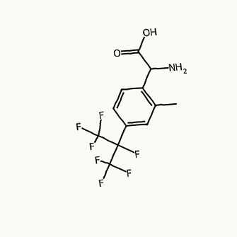 Cc1cc(C(F)(C(F)(F)F)C(F)(F)F)ccc1C(N)C(=O)O